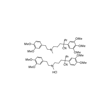 COc1ccc(CCN(C)CCCC(C#N)(c2cc(OC)c(OC)c(OC)c2)C(C)C)cc1OC.COc1ccc(CCN(C)CCCC(C#N)(c2ccc(OC)c(OC)c2)C(C)C)cc1OC.Cl